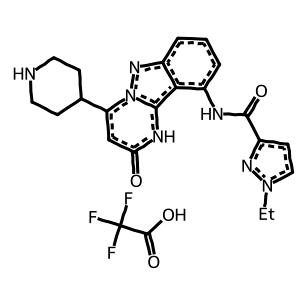 CCn1ccc(C(=O)Nc2cccc3nn4c(C5CCNCC5)cc(=O)[nH]c4c23)n1.O=C(O)C(F)(F)F